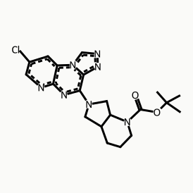 CC(C)(C)OC(=O)N1CCCC2CN(c3nc4ncc(Cl)cc4n4cnnc34)CC21